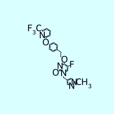 Cn1cc(Cn2cc(F)c(OCCc3ccc(Oc4cccc(C(F)(F)F)n4)cc3)nc2=O)cn1